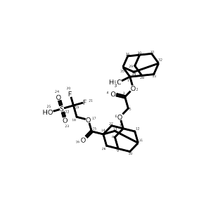 CC1(OC(=O)COC23CC4CC(C2)CC(C(=O)OCC(F)(F)S(=O)(=O)O)(C4)C3)C2CC3CC(C2)CC1C3